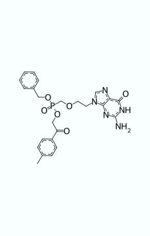 Cc1ccc(C(=O)COP(=O)(COCCn2cnc3c(=O)[nH]c(N)nc32)OCc2ccccc2)cc1